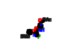 CSc1cccc(Oc2ncc(F)cc2C(=O)NC2CCN(C(=O)COC(C)=O)CC2)c1